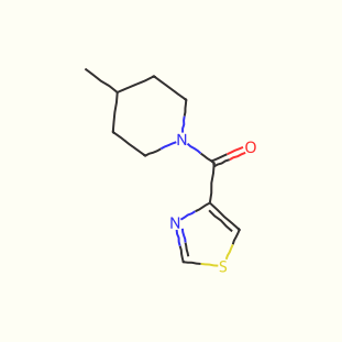 CC1CCN(C(=O)c2cscn2)CC1